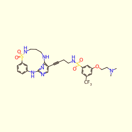 CN(C)CCOc1cc(C(F)(F)F)cc(S(=O)(=O)NCCC#Cc2cnc3nc2NCCCNS(=O)(=O)c2cccc(c2)N3)c1